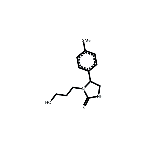 CSc1ccc(C2CNC(=S)N2CCCO)cc1